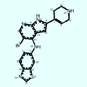 Brc1cnc2[nH]c(C3=CCNCC3)cc2c1Nc1ccc2ncsc2c1